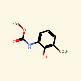 CCCCOC(=O)Nc1cccc(C(=O)O)c1O